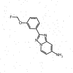 Nc1ccn2nc(-c3cccc(OCF)c3)nc2c1